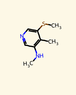 CNc1cncc(SC)c1C